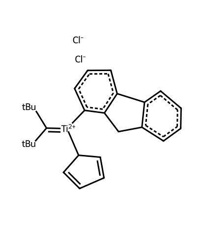 CC(C)(C)[C](=[Ti+2]([c]1cccc2c1Cc1ccccc1-2)[CH]1C=CC=C1)C(C)(C)C.[Cl-].[Cl-]